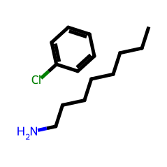 CCCCCCCCN.Clc1ccccc1